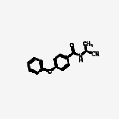 CC(C#N)NC(=O)c1ccc(Oc2ccccc2)cc1